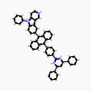 c1ccc(-c2cc(-c3ccccc3)nc(-c3ccc(-c4c5ccccc5c(-c5ccc6c(c5)c5cnccc5n6-c5ccccc5)c5ccccc45)cc3)n2)cc1